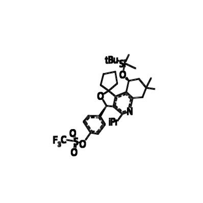 CC(C)c1nc2c(c3c1[C@@H](c1ccc(OS(=O)(=O)C(F)(F)F)cc1)OC31CCCC1)[C@@H](O[Si](C)(C)C(C)(C)C)CC(C)(C)C2